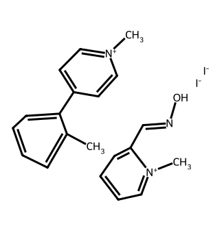 C[n+]1ccccc1C=NO.Cc1ccccc1-c1cc[n+](C)cc1.[I-].[I-]